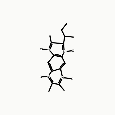 CCC(C)c1c(C)[n+]([O-])c2cc3c(cc2[n+]1[O-])[n+]([O-])c(C)c(C)[n+]3[O-]